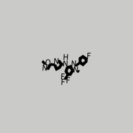 Cc1ncc(-c2ccc(Nc3cc(C(F)(F)F)cc4c3nc(-c3ccc(F)cc3)n4C)cn2)o1